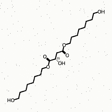 O=C(C[C@H](O)C(=O)OCCCCCCCCO)OCCCCCCCCO